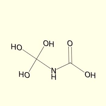 O=C(O)NC(O)(O)O